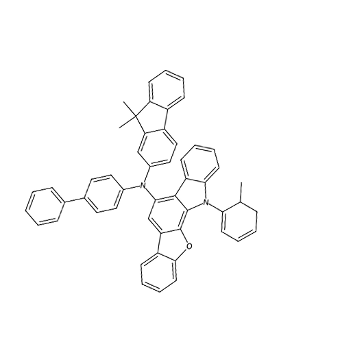 CC1CC=CC=C1n1c2ccccc2c2c(N(c3ccc(-c4ccccc4)cc3)c3ccc4c(c3)C(C)(C)c3ccccc3-4)cc3c4ccccc4oc3c21